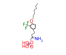 CCCCCCCOc1ccc(CC[C@H](N)COP(=O)(O)O)cc1C(F)(F)F